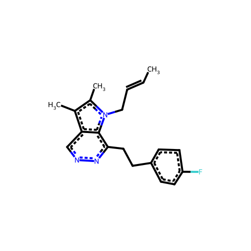 CC=CCn1c(C)c(C)c2cnnc(CCc3ccc(F)cc3)c21